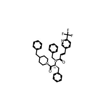 O=C([C@H](Cc1ccccc1)N(Cc1ccccc1)C(=O)C=Cc1ccc(C(F)(F)F)nc1)N1CCC(Cc2ccccc2)CC1